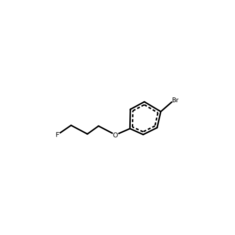 FCCCOc1ccc(Br)cc1